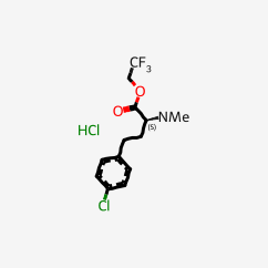 CN[C@@H](CCc1ccc(Cl)cc1)C(=O)OCC(F)(F)F.Cl